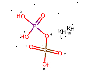 O=P(O)(O)OS(=O)(=O)O.[KH].[KH]